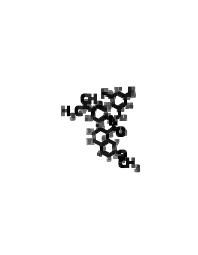 COc1ccc2c(c1)C(C(=O)N(Cc1cc(F)cc(F)c1)c1ccc(C(C)C)cc1)CCC2